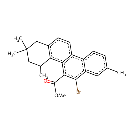 COC(=O)c1c(Br)c2cc(C)ccc2c2ccc3c(c12)C(C)CC(C)(C)C3